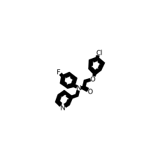 O=C(COc1ccc(Cl)cc1)N(Cc1cccnc1)c1ccc(F)cc1